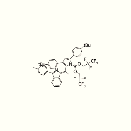 C/C(=C1/N=C(c2ccc(C)cc2)c2ccccc21)c1c(-c2ccc(C(C)(C)C)cc2)cc(-c2ccc(C(C)(C)C)cc2)n1B(OCC(F)(F)C(F)(F)F)OCC(F)(F)C(F)(F)F